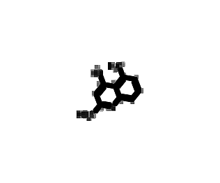 Cc1cccc2nc(C(=O)O)cc(O)c12